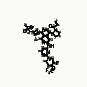 C=CC(=O)N1CCCC1c1cnc(N2C[C@H](CS(C)(=O)=O)[C@H]2C)c2cnc(Nc3ccnc(N4CC[C@@H](OC(F)(F)F)[C@@H](F)C4)n3)cc12